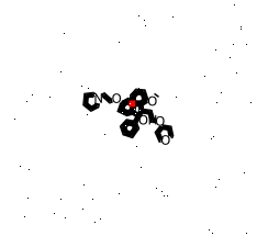 COc1ccccc1C(CCOC1CCOCC1)C(O)(c1ccccc1)c1ccc(OCCN2CCCCC2)cc1